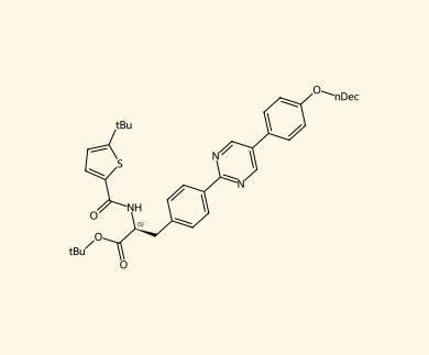 CCCCCCCCCCOc1ccc(-c2cnc(-c3ccc(C[C@H](NC(=O)c4ccc(C(C)(C)C)s4)C(=O)OC(C)(C)C)cc3)nc2)cc1